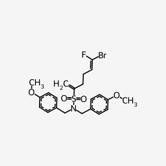 C=C(CC/C=C(\F)Br)S(=O)(=O)N(Cc1ccc(OC)cc1)Cc1ccc(OC)cc1